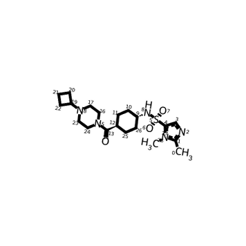 Cc1ncc(S(=O)(=O)N[C@H]2CC[C@H](C(=O)N3CCN(C4CCC4)CC3)CC2)n1C